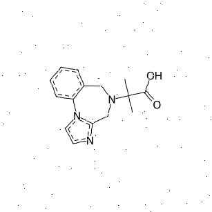 CC(C)(C(=O)O)N1Cc2ccccc2-n2ccnc2C1